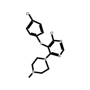 CN1CCN(c2ncnc(Cl)c2Sc2ccc(Cl)cc2)CC1